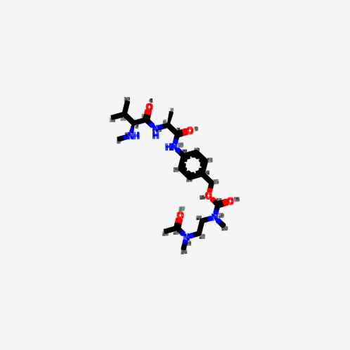 CN[C@H](C(=O)N[C@@H](C)C(=O)Nc1ccc(COC(=O)N(C)CCN(C)C(C)=O)cc1)C(C)C